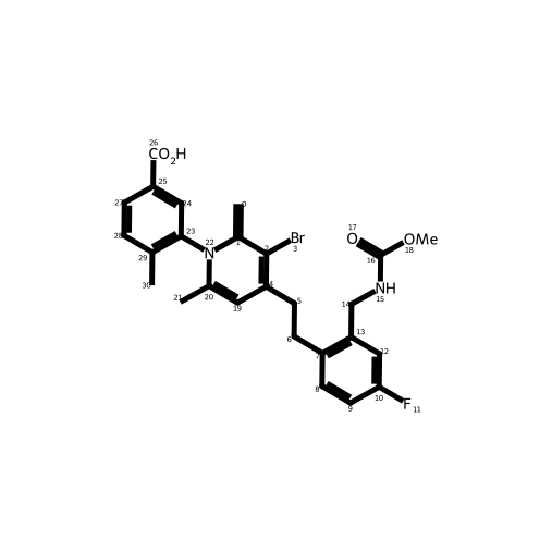 C=C1C(Br)=C(CCc2ccc(F)cc2CNC(=O)OC)C=C(C)N1c1cc(C(=O)O)ccc1C